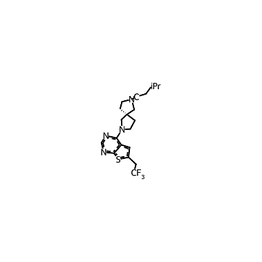 CC(C)CCN1CC[C@@]2(CCN(c3ncnc4sc(CC(F)(F)F)cc34)C2)C1